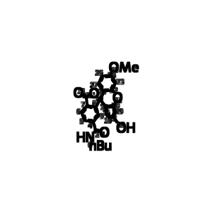 CCCCNC(=O)c1ccc2c(c1)C1(OC2=O)c2ccc(O)cc2Oc2cc(OC)ccc21